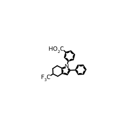 O=C(O)c1cccc(-n2c(-c3ccccc3)cc3c2CCC(C(F)(F)F)C3)c1